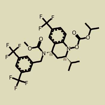 COC(=O)N(Cc1cc(C(F)(F)F)cc(C(F)(F)F)c1)[C@H]1C[C@@H](C(C)C)N(OC(=O)OC(C)C)c2ccc(C(F)(F)F)cc21